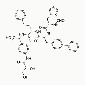 O=CN[C@H](Cc1cccs1)C(=O)N[C@@H](Cc1ccc(-c2ccccc2)cc1)C(=O)N[C@@H](CCc1ccccc1)C(=O)NC(C(=O)O)c1ccc(NC(=O)[C@H](O)CO)cc1